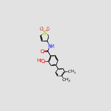 Cc1ccc(-c2ccc(C(=O)NC3C=CS(=O)(=O)C3)c(O)c2)cc1C